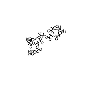 COCCOC(=O)C(C)(COC(=O)C(C)(COC(=O)C(C)(CO)CO)COC(=O)C(C)(CO)CO)COC(=O)C(C)(COC(=O)C(C)(CO)CO)OC(=O)C(C)(CO)CO